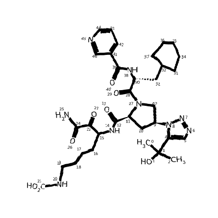 CC(C)(O)c1cnnn1[C@H]1C[C@@H](C(=O)NC(CCCCNC(=O)O)C(=O)C(N)=O)N(C(=O)[C@@H](CC2CCCCC2)NC(=O)c2cccnc2)C1